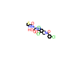 O=C(NC[C@H](NC(=O)c1c(Cl)cc2c(c1Cl)CCN(C(=O)c1cccc(Cl)c1)C2)C(=O)O)c1cccs1